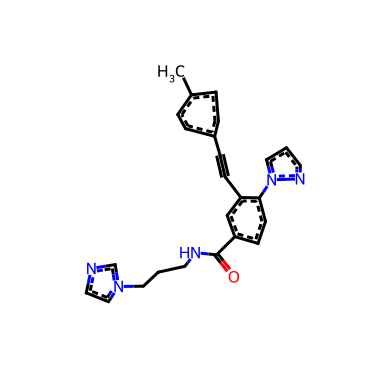 Cc1ccc(C#Cc2cc(C(=O)NCCCn3ccnc3)ccc2-n2cccn2)cc1